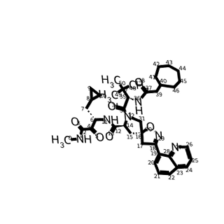 CNC(=O)C(=O)[C@H](CC1CC1)NC(=O)[C@@H]1C[C@]2(CC(c3cccc4cccnc34)=NO2)CN1C(=O)[C@@H](NC(=O)CC1CCCCCC1)C(C)(C)C